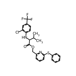 CC(C)C(Nc1ccc(C(F)(F)F)cc1Cl)C(=O)OCc1cccc(Sc2ccccc2)n1